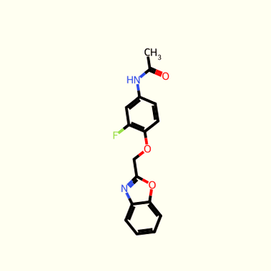 CC(=O)Nc1ccc(OCc2nc3ccccc3o2)c(F)c1